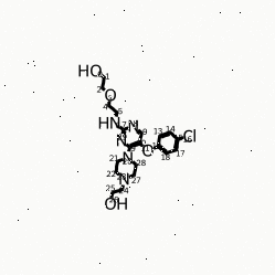 OCCOCCNc1ncc(Oc2ccc(Cl)cc2)c(N2CCN(CCO)CC2)n1